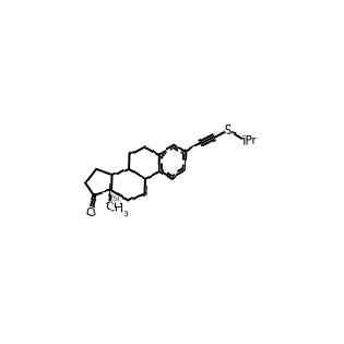 CC(C)SC#Cc1ccc2c(c1)CCC1C2CC[C@]2(C)C(=O)CCC12